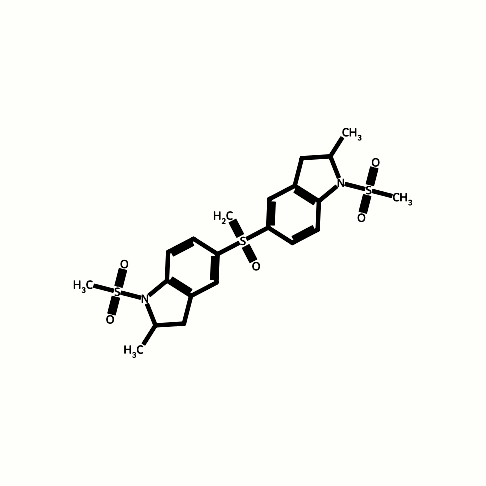 C=S(=O)(c1ccc2c(c1)CC(C)N2S(C)(=O)=O)c1ccc2c(c1)CC(C)N2S(C)(=O)=O